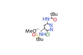 COC[C@@H](N[S+]([O-])C(C)(C)C)c1cc(NC(=O)C(C)(C)C)nnc1Cl